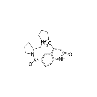 O=c1cc(C(F)(F)F)c2cc([S+]([O-])N3CCCC3CN3CCCC3)ccc2[nH]1